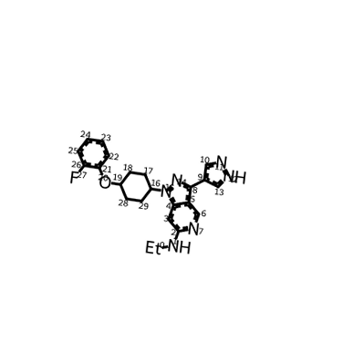 CCNc1cc2c(cn1)c(-c1cn[nH]c1)nn2C1CCC(Oc2ccccc2F)CC1